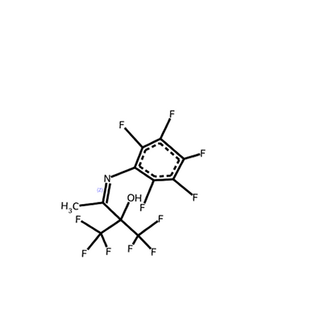 C/C(=N/c1c(F)c(F)c(F)c(F)c1F)C(O)(C(F)(F)F)C(F)(F)F